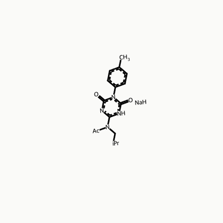 CC(=O)N(CC(C)C)c1nc(=O)n(-c2ccc(C)cc2)c(=O)[nH]1.[NaH]